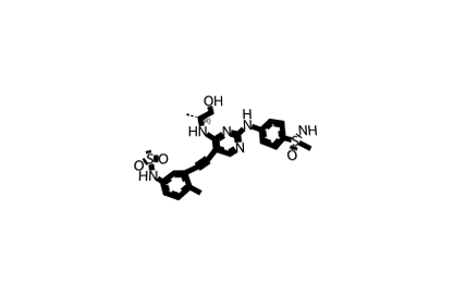 Cc1ccc(NS(C)(=O)=O)cc1C#Cc1cnc(Nc2ccc(S(C)(=N)=O)cc2)nc1N[C@H](C)CO